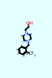 OCCN1CCN(Cc2ccccc2C(F)(F)F)CC1